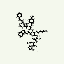 CC(C)[C@H](NC(=O)[C@H](CCCCN)NC(=O)[C@@H](Cc1c[nH]c2ccccc12)NC(=O)[C@H](Cc1ccc(O)cc1)NC(=O)[C@H](CS)NC(=O)[C@H](N)Cc1ccccc1)C(=O)N[C@@H](CS)C(=O)N1CCC[C@H]1C(=O)O